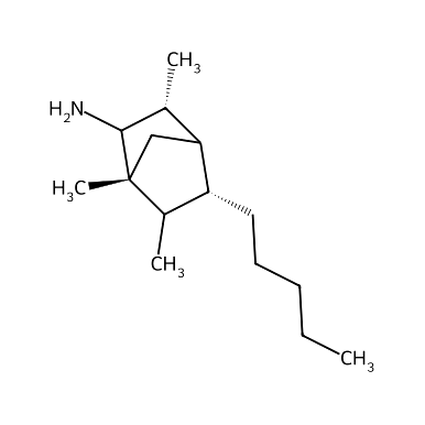 CCCCC[C@H]1C2C[C@@](C)(C(N)[C@@H]2C)C1C